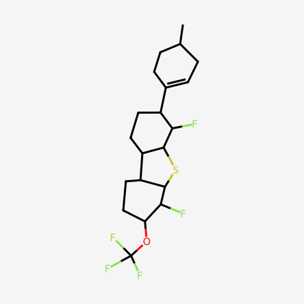 CC1CC=C(C2CCC3C4CCC(OC(F)(F)F)C(F)C4SC3C2F)CC1